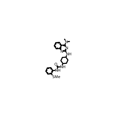 CSc1ccccc1NC(=O)NC1CCC(Nc2nc(N(C)C)c3ccccc3n2)CC1